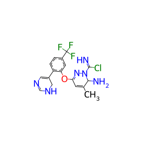 CC1=CC(Oc2cc(C(F)(F)F)ccc2C2=CN=CNC2)=NN(C(=N)Cl)C1N